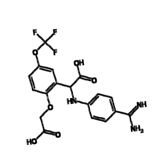 N=C(N)c1ccc(NC(C(=O)O)c2cc(OC(F)(F)F)ccc2OCC(=O)O)cc1